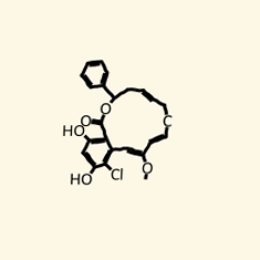 COC1=C\c2c(Cl)c(O)cc(O)c2C(=O)OC(c2ccccc2)C/C=C/CC\C=C\1